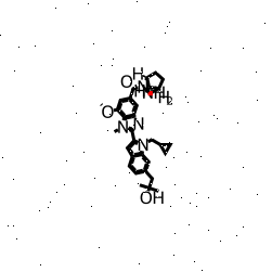 COc1cc(C(=O)N2C[C@H]3CC[C@@H]2[C@@H]3N)cc2nc(-c3cc4ccc(CC(C)(C)O)cc4n3CC3CC3)n(C)c12